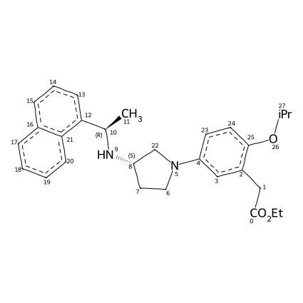 CCOC(=O)Cc1cc(N2CC[C@H](N[C@H](C)c3cccc4ccccc34)C2)ccc1OC(C)C